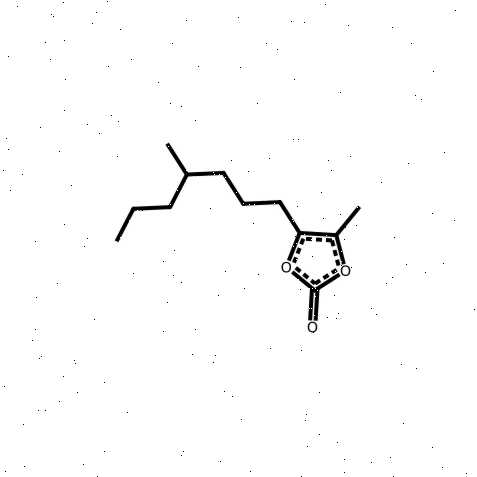 CCCC(C)CCCc1oc(=O)oc1C